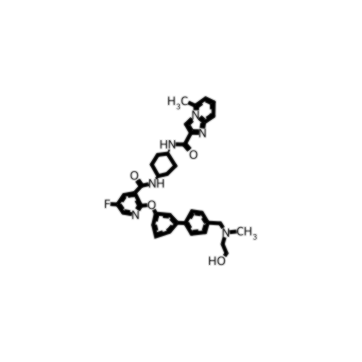 Cc1cccc2nc(C(=O)N[C@H]3CC[C@H](NC(=O)c4cc(F)cnc4Oc4cccc(-c5ccc(CN(C)CCO)cc5)c4)CC3)cn12